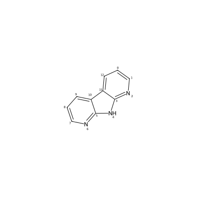 c1cnc2[nH]c3ncccc3c2c1